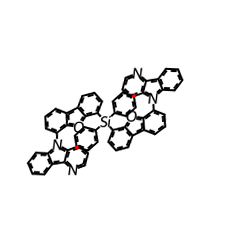 c1ccc([Si](c2ccccc2)(c2cccc3c2oc2c(-n4c5ccccc5c5ncccc54)cccc23)c2cccc3c2oc2c(-n4c5ccccc5c5ncccc54)cccc23)cc1